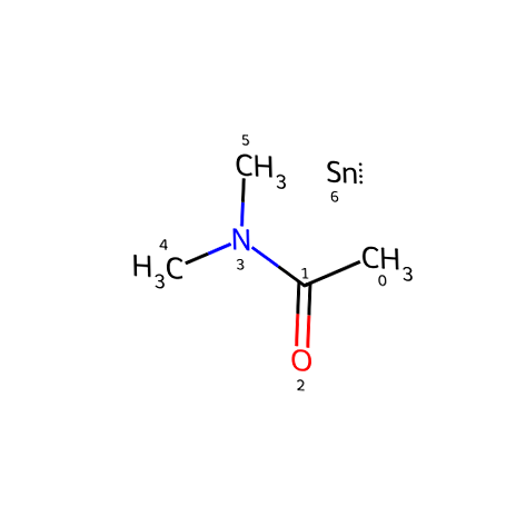 CC(=O)N(C)C.[Sn]